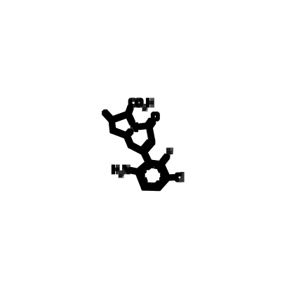 CC1CC2CC(c3c(N)ccc(Cl)c3F)=CC(=O)N2C1C(=O)O